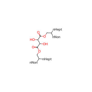 CCCCCCCCCC(CCCCCCC)COC(=O)C(O)C(O)C(=O)OCC(CCCCCCC)CCCCCCCCC